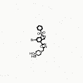 O=S(=O)(c1ccccc1)n1ncc2c(-c3nnc(CN4CCS(O)(O)CC4)o3)cc(Br)cc21